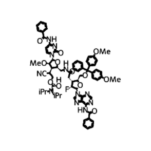 COc1ccc(C(OC[C@H]2O[C@@H](n3cnc4c(NC(=O)c5ccccc5)ncnc43)[C@H](F)[C@@H]2CC(=O)NC[C@@H]2O[C@@H](n3ccc(NC(=O)c4ccccc4)nc3=O)[C@H](OC)[C@@H]2C(C#N)COP(O)N(C(C)C)C(C)C)(c2ccccc2)c2ccc(OC)cc2)cc1